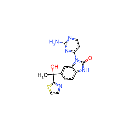 C[C@@](O)(c1ccc2[nH]c(=O)n(-c3ccnc(N)n3)c2c1)c1nccs1